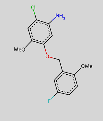 COc1ccc(F)cc1COc1cc(N)c(Cl)cc1OC